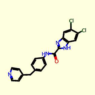 O=C(Nc1ccc(Cc2ccncc2)cc1)c1nc2cc(Cl)c(Cl)cc2[nH]1